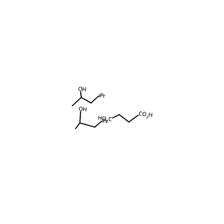 CC(C)CC(C)O.CC(C)CC(C)O.O=C(O)CCC(=O)O